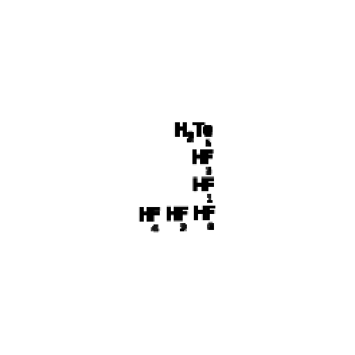 F.F.F.F.F.[TeH2]